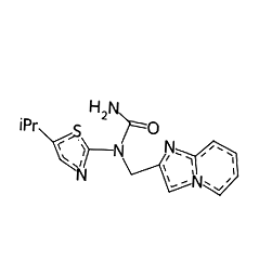 CC(C)c1cnc(N(Cc2cn3ccccc3n2)C(N)=O)s1